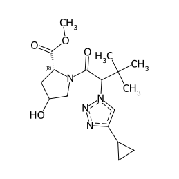 COC(=O)[C@H]1CC(O)CN1C(=O)C(n1cc(C2CC2)nn1)C(C)(C)C